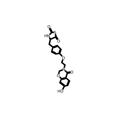 O=C1NC(Cc2ccc(OCCN3COc4cc(O)ccc4C3=O)cc2)C(=O)S1